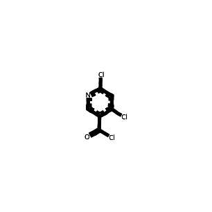 O=C(Cl)c1cnc(Cl)cc1Cl